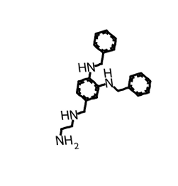 NCCNCc1ccc(NCc2ccccc2)c(NCc2ccccc2)c1